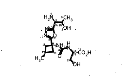 C[C@@H](O)[C@H](N)c1nnc([C@]2(NC(=O)N[C@@H](CO)C(=O)O)C[C@H](C)C2)o1